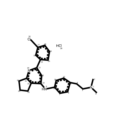 CN(C)CCc1ccc(Nc2cc(-c3cccc(Cl)c3)nc3c2CCC3)cc1.Cl